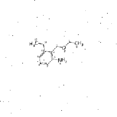 CCOCc1c(N)cccc1CC